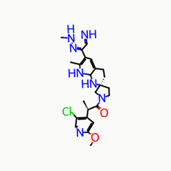 CN/N=C(\C=N)C1=C(C)NC2N[C@@]3(CCC2=C1)CCN(C(=O)[C@H](C)c1cc(OC)ncc1Cl)C3